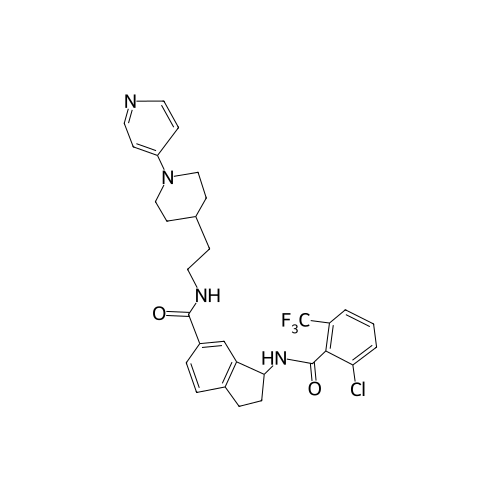 O=C(NCCC1CCN(c2ccncc2)CC1)c1ccc2c(c1)C(NC(=O)c1c(Cl)cccc1C(F)(F)F)CC2